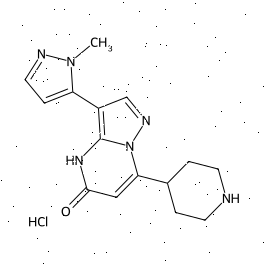 Cl.Cn1nccc1-c1cnn2c(C3CCNCC3)cc(=O)[nH]c12